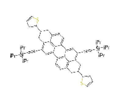 CC(C)[Si](C#Cc1cc2c3ccc4c5c(c(C#C[Si](C(C)C)(C(C)C)C(C)C)cc(c6ccc7c(c1CC(c1cccs1)C7)c62)c53)CC(c1cccs1)C4)(C(C)C)C(C)C